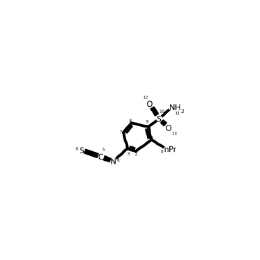 CCCc1cc(N=C=S)ccc1S(N)(=O)=O